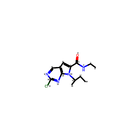 CCNC(=O)c1cc2cnc(Cl)nc2n1C(C)CC